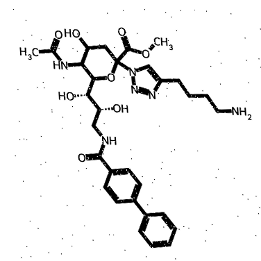 COC(=O)C1(n2cc(CCCCN)nn2)CC(O)C(NC(C)=O)C([C@@H](O)[C@H](O)CNC(=O)c2ccc(-c3ccccc3)cc2)O1